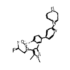 Cc1nn(C)c(C)c1N(CC(F)F)[S+]([O-])c1ccc(-c2ccnc(N3CCNCC3)c2)cc1